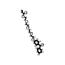 C=CC(=O)OCCOCCOCCOCCOc1ccc(C(=O)c2ccccc2)cc1